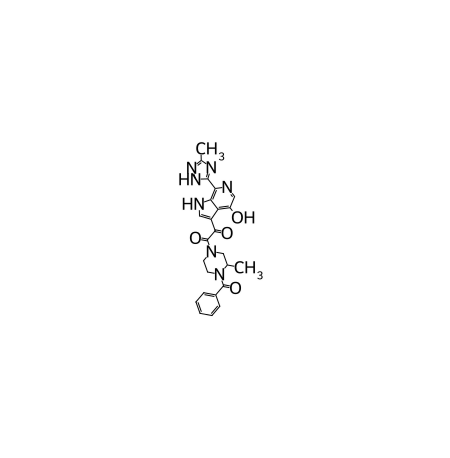 Cc1n[nH]c(-c2ncc(O)c3c(C(=O)C(=O)N4CCN(C(=O)c5ccccc5)C(C)C4)c[nH]c23)n1